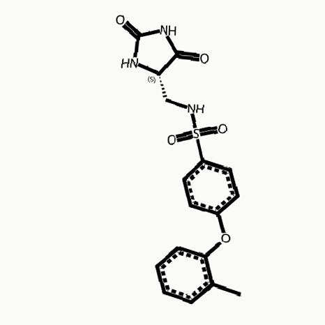 Cc1ccccc1Oc1ccc(S(=O)(=O)NC[C@@H]2NC(=O)NC2=O)cc1